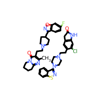 Cc1nc2n(c(=O)c1CCN1CCC(c3noc4cc(F)ccc34)CC1)CCCC2.O=C1Cc2cc(CCN3CCN(c4nsc5ccccc45)CC3)c(Cl)cc2N1